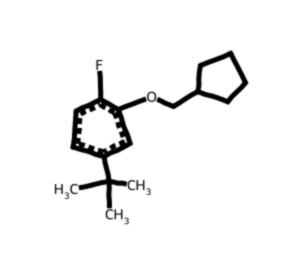 CC(C)(C)c1ccc(F)c(OCC2CCCC2)c1